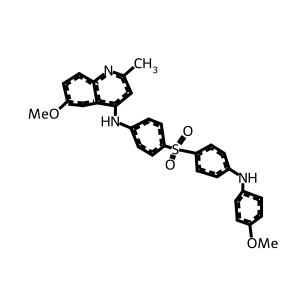 COc1ccc(Nc2ccc(S(=O)(=O)c3ccc(Nc4cc(C)nc5ccc(OC)cc45)cc3)cc2)cc1